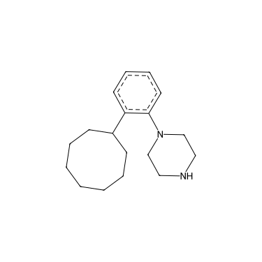 c1ccc(N2CCNCC2)c(C2CCCCCCC2)c1